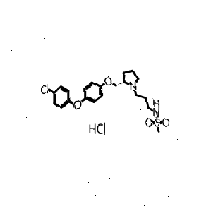 CS(=O)(=O)NCCCN1CCC[C@H]1COc1ccc(Oc2ccc(Cl)cc2)cc1.Cl